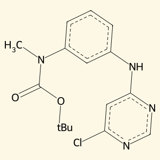 CN(C(=O)OC(C)(C)C)c1cccc(Nc2cc(Cl)ncn2)c1